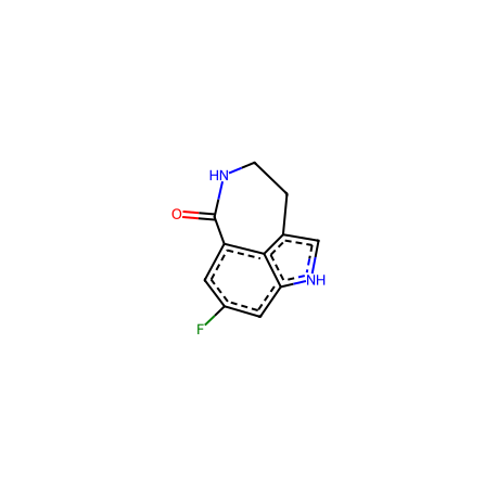 O=C1NCCc2c[nH]c3cc(F)cc1c23